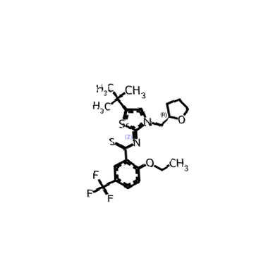 CCOc1ccc(C(F)(F)F)cc1C(=S)/N=c1\sc(C(C)(C)C)cn1C[C@H]1CCCO1